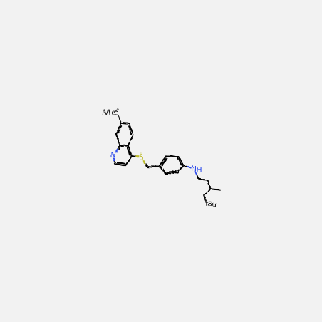 CSc1ccc2c(SCc3ccc(NCCC(C)CC(C)(C)C)cc3)ccnc2c1